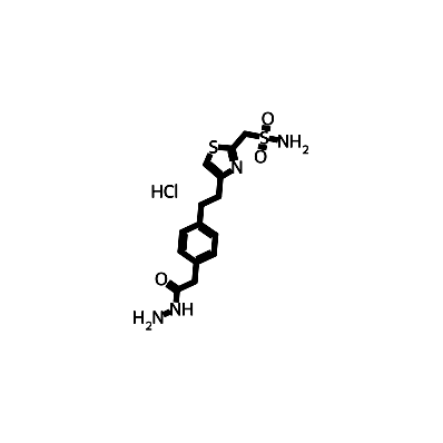 Cl.NNC(=O)Cc1ccc(CCc2csc(CS(N)(=O)=O)n2)cc1